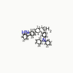 C=Cc1ccccc1.c1ccc(N(c2ccccc2)c2ccccc2)cc1.c1ccc2c(c1)[nH]c1ccccc12